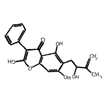 C=C(C)C(O)Cc1c(O)cc2oc(O)c(-c3ccccc3)c(=O)c2c1O